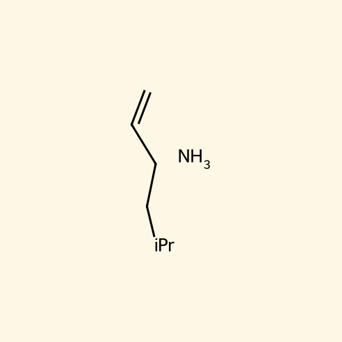 C=CCCC(C)C.N